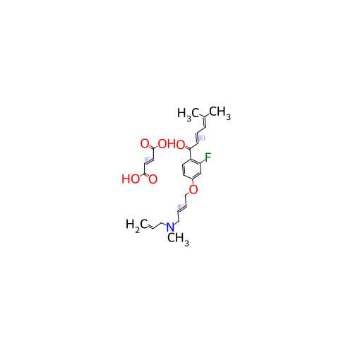 C=CCN(C)C/C=C/COc1ccc(C(=O)/C=C/C=C(C)C)c(F)c1.O=C(O)/C=C/C(=O)O